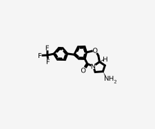 N[C@H]1C[C@@H]2COc3ccc(-c4ccc(C(F)(F)F)cc4)cc3C(=O)N2C1